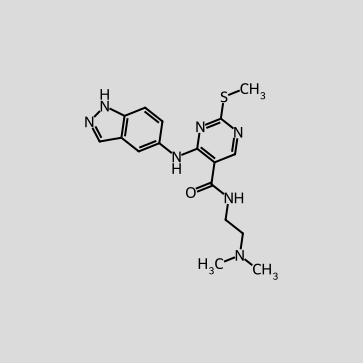 CSc1ncc(C(=O)NCCN(C)C)c(Nc2ccc3[nH]ncc3c2)n1